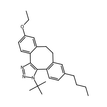 CCCCc1ccc2c(c1)CCc1cc(OCC)ccc1-c1nnn(C(C)(C)C)c1-2